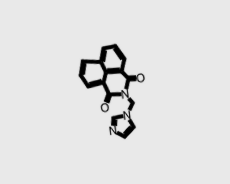 O=C1c2cccc3cccc(c23)C(=O)N1Cn1ccnc1